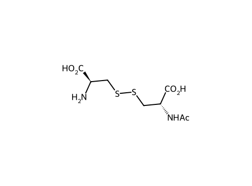 CC(=O)N[C@H](CSSC[C@@H](N)C(=O)O)C(=O)O